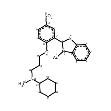 CC(=O)N1c2ccccc2SC1c1cc([N+](=O)[O-])ccc1OCCCN(C)C1CCCCC1